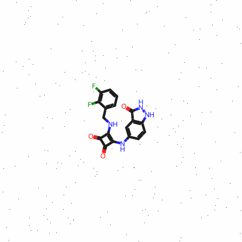 O=c1c(NCc2cccc(F)c2F)c(Nc2ccc3[nH][nH]c(=O)c3c2)c1=O